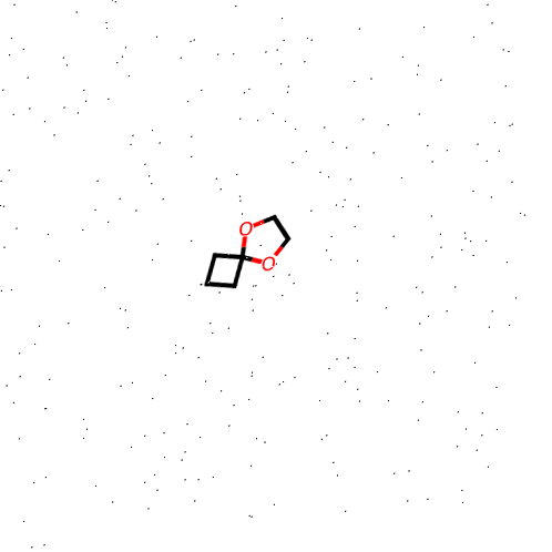 [CH]1CC2(C1)OCCO2